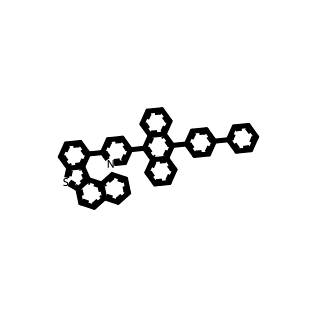 c1ccc(-c2ccc(-c3c4ccccc4c(-c4ccc(-c5cccc6sc7ccc8ccccc8c7c56)nc4)c4ccccc34)cc2)cc1